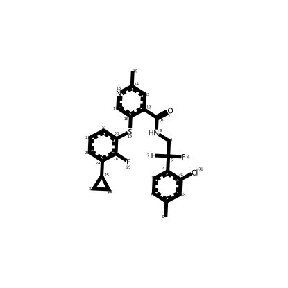 Cc1ccc(C(F)(F)CNC(=O)c2cc(C)ncc2Sc2cccc(C3CC3)c2F)c(Cl)c1